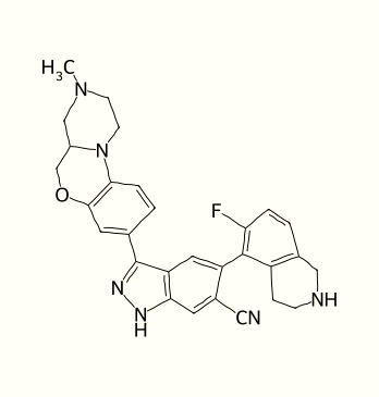 CN1CCN2c3ccc(-c4n[nH]c5cc(C#N)c(-c6c(F)ccc7c6CCNC7)cc45)cc3OCC2C1